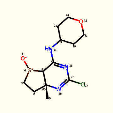 C[C@@]12CC[S+]([O-])C1C(NC1CCOCC1)=NC(Cl)=N2